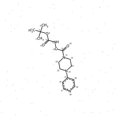 CC(C)(C)OC(=O)NOC(=O)N1CCN(c2ccncc2)CC1